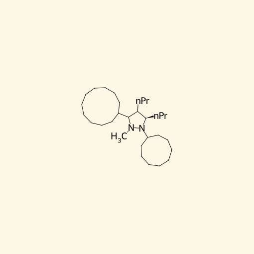 CCCC1C(C2CCCCCCCCCC2)N(C)N(C2CCCCCCCC2)[C@@H]1CCC